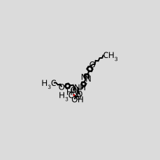 CCCCCCCOc1ccc(-c2cnc(-c3ccc(C[C@H](NC(=O)Cc4ccc(OCCCC)cc4)C(=O)N[C@H](C)C(=O)O)cc3)nc2)cc1